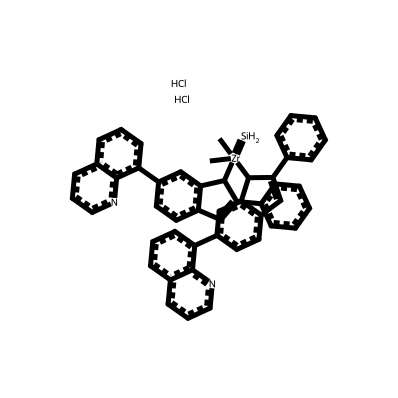 Cl.Cl.[CH3][Zr]([CH3])(=[SiH2])([CH]1C(c2ccccc2)=Cc2ccc(-c3cccc4cccnc34)cc21)[CH]1C(c2ccccc2)=Cc2ccc(-c3cccc4cccnc34)cc21